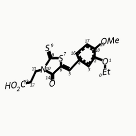 CCOc1cc(/C=C2\SC(=S)N(CCC(=O)O)C2=O)ccc1OC